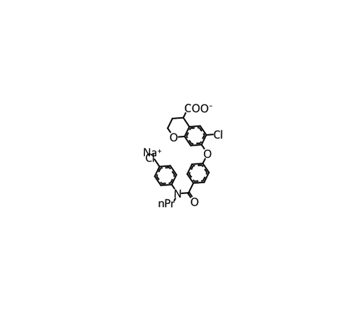 CCCN(C(=O)c1ccc(Oc2cc3c(cc2Cl)C(C(=O)[O-])CCO3)cc1)c1ccc(Cl)cc1.[Na+]